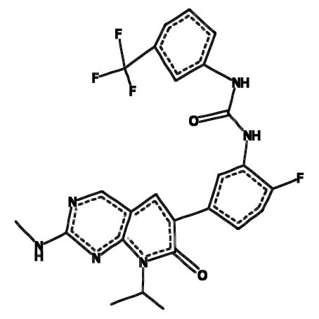 CNc1ncc2cc(-c3ccc(F)c(NC(=O)Nc4cccc(C(F)(F)F)c4)c3)c(=O)n(C(C)C)c2n1